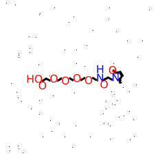 C=C1C=CC(=O)N1CCC(=O)NCCOCCOCCOCCOCCC(=O)O